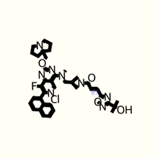 CN(CC1CN(C(=O)/C=C/c2nc(C(C)(C)O)no2)C1)c1nc(OCC23CCCN2CCC3)nc2c(F)c(-c3cccc4cccc(Cl)c34)ncc12